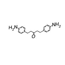 Nc1ccc(CCC(=O)CCc2ccc(N)cc2)cc1